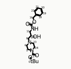 CC(C)(C)OC(=O)N1CCN(C[C@@H](O)CNC(=O)OCc2ccccc2)CC1